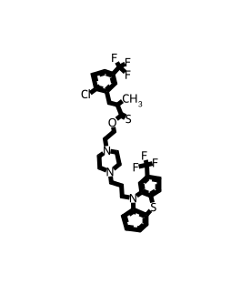 CC(Cc1cc(C(F)(F)F)ccc1Cl)C(=S)OCCN1CCN(CCCN2c3ccccc3Sc3ccc(C(F)(F)F)cc32)CC1